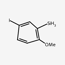 COc1ccc(I)cc1[SiH3]